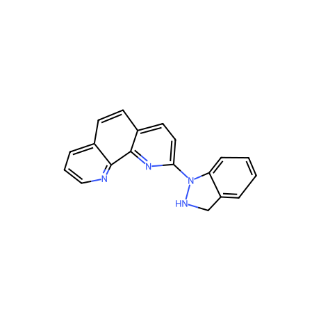 c1ccc2c(c1)CNN2c1ccc2ccc3cccnc3c2n1